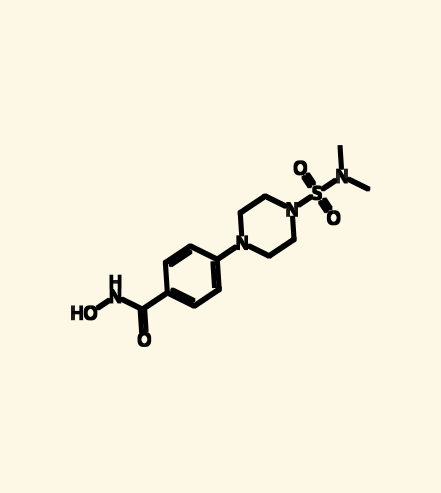 CN(C)S(=O)(=O)N1CCN(c2ccc(C(=O)NO)cc2)CC1